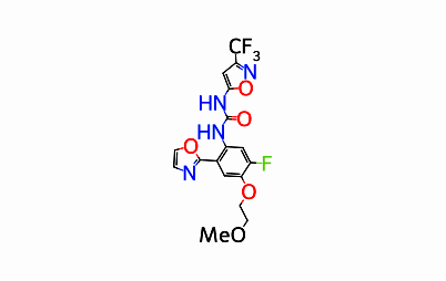 COCCOc1cc(-c2ncco2)c(NC(=O)Nc2cc(C(F)(F)F)no2)cc1F